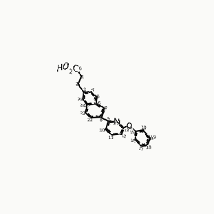 O=C(O)CCc1ccc2cc(-c3cccc(Oc4ccccc4)n3)ccc2c1